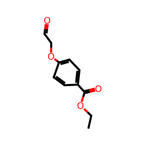 CCOC(=O)c1ccc(OCC=O)cc1